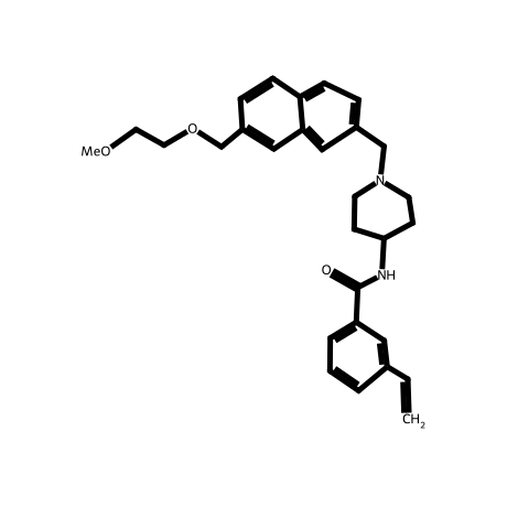 C=Cc1cccc(C(=O)NC2CCN(Cc3ccc4ccc(COCCOC)cc4c3)CC2)c1